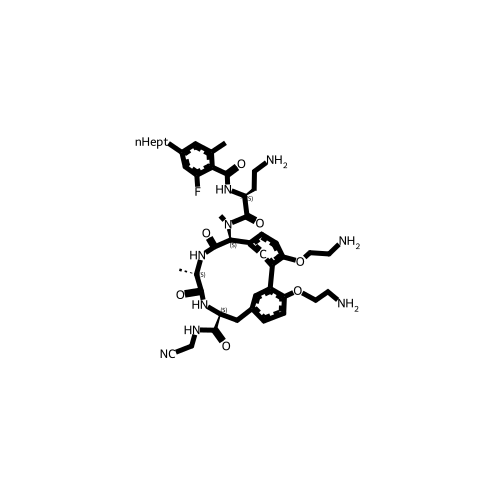 CCCCCCCc1cc(C)c(C(=O)N[C@@H](CCN)C(=O)N(C)[C@@H]2C(=O)N[C@@H](C)C(=O)N[C@H](C(=O)NCC#N)Cc3ccc(OCCN)c(c3)-c3cc2ccc3OCCN)c(F)c1